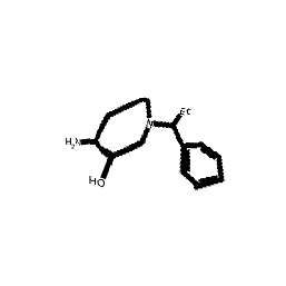 CCC(c1ccccc1)N1CCC(N)C(O)C1